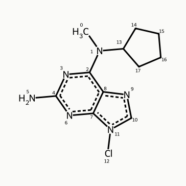 CN(c1nc(N)nc2c1ncn2Cl)C1CCCC1